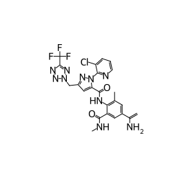 C=C(N)c1cc(C)c(NC(=O)c2cc(Cn3nnc(C(F)(F)F)n3)nn2-c2ncccc2Cl)c(C(=O)NC)c1